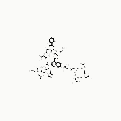 CSCC[C@H](NC(=O)[C@H](CC(C)C)NC(=O)[C@H](Cc1c[nH]cn1)NC(=O)CNC(=O)[C@@H](NC(=O)[C@H](C)NC(=O)[C@H](Cc1c[nH]c2ccccc12)NC(=O)[C@H](CCC(N)=O)NC(=O)c1cccc2cc(NC(=O)CNC(=O)CN3CCN(CC(=O)O)CCN(CC(=O)O)CCN(CC(=O)O)CC3)ccc12)C(C)C)C(N)=O